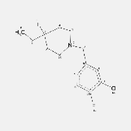 CCC1(F)CCN(Cc2ccc(F)c(Cl)c2)CC1